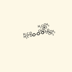 C=C(C)C(=O)Oc1ccc(-c2ccc(-c3ccc4c(c3)C(OC(=O)C(=C)C)CC4OC(=O)C(=C)C)c(C)c2)cc1